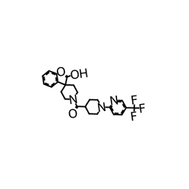 O=C(C1CCN(c2ccc(C(F)(F)F)cn2)CC1)N1CCC(C(=O)O)(c2ccccc2)CC1